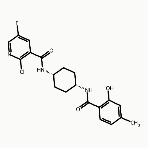 Cc1ccc(C(=O)N[C@H]2CC[C@@H](NC(=O)c3cc(F)cnc3Cl)CC2)c(O)c1